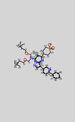 C[Si](C)(C)CCOCN(COCC[Si](C)(C)C)c1c(Br)c(C2CCS(=O)(=O)CC2)nc2c(-c3ccc(-c4ccccc4)nc3)cnn12